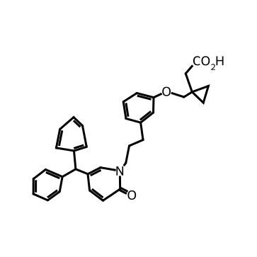 O=C(O)CC1(COc2cccc(CCCn3cc(C(c4ccccc4)c4ccccc4)ccc3=O)c2)CC1